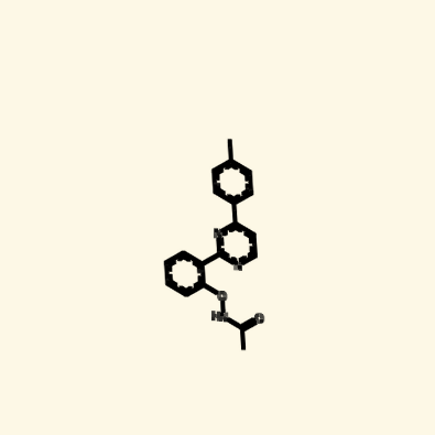 CC(=O)NOc1ccccc1-c1nccc(-c2ccc(C)cc2)n1